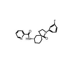 O=C(N[C@@H]1CCC[C@]2(CCN(c3cccc(F)c3)C2=O)C1)c1ccccn1